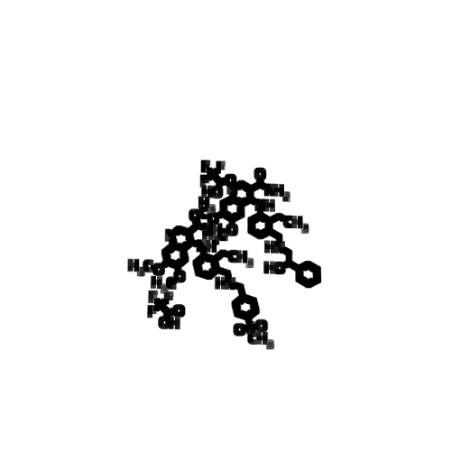 CCc1c(CNCC(O)c2ccccc2)cccc1Nc1c(C(N)=O)cnc2cc(OC)c(OC)cc12.CCc1c(CNCc2ccc(S(C)(=O)=O)cc2)cccc1Nc1c(C(N)=O)cnc2cc(OC)c(OC)cc12.O=C(O)C(F)(F)F.O=C(O)C(F)(F)F